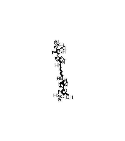 O=[PH](S)O[C@H]1[C@@H](F)[C@H](n2cnc3c(NCC/C=C/CNc4ncnc5c4ncn5[C@@H]4OC(CO)[C@@H](O[PH](=O)S)[C@H]4F)ncnc32)O[C@@H]1CO